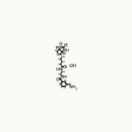 Cl.NCc1cccc(C(=O)NCCNC(=O)CCCC[C@@H]2SC[C@@H]3NC(=O)N[C@@H]32)c1